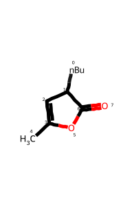 CCCCC1C=C(C)OC1=O